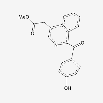 COC(=O)Cc1cnc(C(=O)c2ccc(O)cc2)c2ccccc12